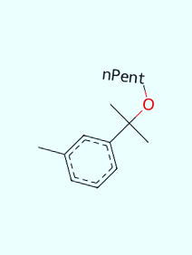 CCCCCOC(C)(C)c1cccc(C)c1